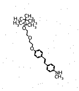 CNc1ccc(C=Cc2ccc(OCCOCCO[Si](C)(C)C(C)(C)C)cc2)cc1